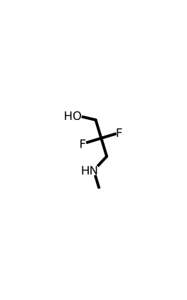 CNCC(F)(F)CO